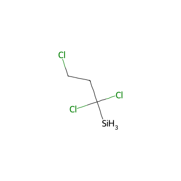 [SiH3]C(Cl)(Cl)CCCl